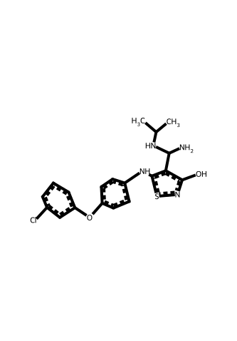 CC(C)NC(N)c1c(O)nsc1Nc1ccc(Oc2cccc(Cl)c2)cc1